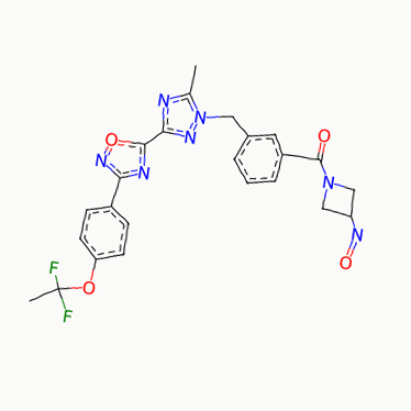 Cc1nc(-c2nc(-c3ccc(OC(C)(F)F)cc3)no2)nn1Cc1cccc(C(=O)N2CC(N=O)C2)c1